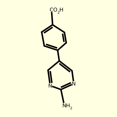 Nc1ncc(-c2ccc(C(=O)O)cc2)cn1